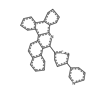 c1cncc(-c2ccc(-c3nc4c5ccccc5c5ccccc5c4c4ccc5ccccc5c34)cc2)c1